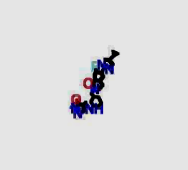 Cc1c(N[C@H]2CCCC(Cn3ccc4cc(-c5ncc(C6CC6)cn5)c(F)cc4c3=O)C2)cnn(C)c1=O